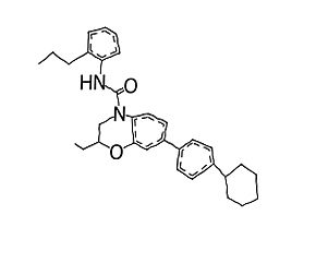 CCCc1ccccc1NC(=O)N1CC(CC)Oc2cc(-c3ccc(C4CCCCC4)cc3)ccc21